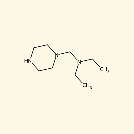 CCN(CC)CN1CCNCC1